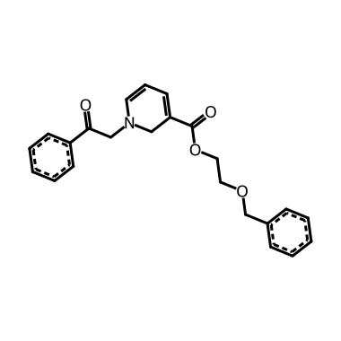 O=C(OCCOCc1ccccc1)C1=CC=CN(CC(=O)c2ccccc2)C1